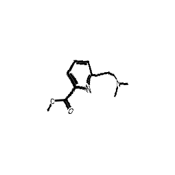 COC(=O)c1cccc(CN(C)C)n1